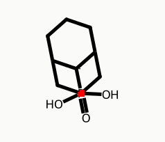 O=P(O)(O)[C]1C2CCCC1CCC2